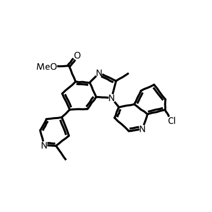 COC(=O)c1cc(-c2ccnc(C)c2)cc2c1nc(C)n2-c1ccnc2c(Cl)cccc12